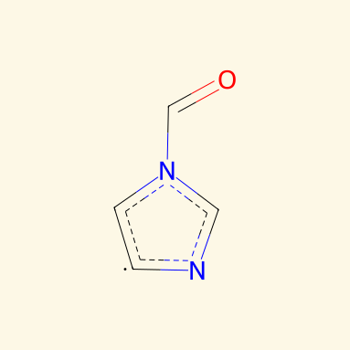 O=Cn1c[c]nc1